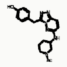 CC(=O)N1CCCC(Nc2ccc3nnc(Cc4ccc(O)cc4)n3n2)C1